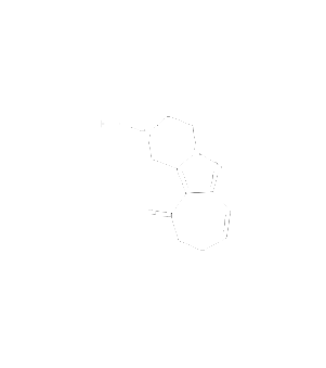 O=C1CCC=Cc2nn3c(c21)CN(C(=O)O)CC3